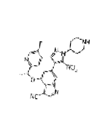 C[C@@H](Oc1cc(-c2cnn(C3CCNCC3)c2[N+](=O)[O-])cn2ncc(C#N)c12)c1ccc(F)cn1